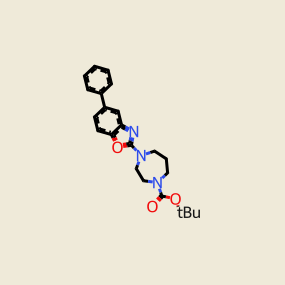 CC(C)(C)OC(=O)N1CCCN(c2nc3cc(-c4ccccc4)ccc3o2)CC1